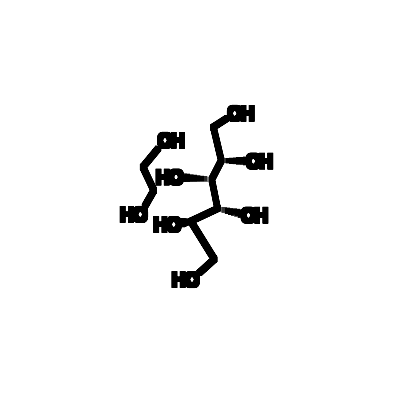 OCCO.OC[C@@H](O)[C@@H](O)[C@H](O)[C@@H](O)CO